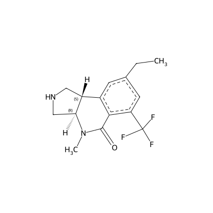 CCc1cc2c(c(C(F)(F)F)c1)C(=O)N(C)[C@H]1CNC[C@H]21